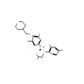 Cc1ccc(N(CC(C)C)S(=O)(=O)c2cc(F)c(OCC3CCOCC3)c(F)c2)c(C)c1